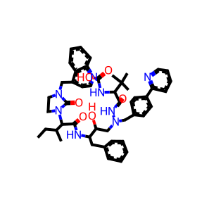 CCC(C)C(C(=O)NC(Cc1ccccc1)C(O)CN(Cc1ccc(-c2ccccn2)cc1)NC(=O)C(NC(=O)O)C(C)(C)C)N1CCN(Cc2ccnc3ccccc23)C1=O